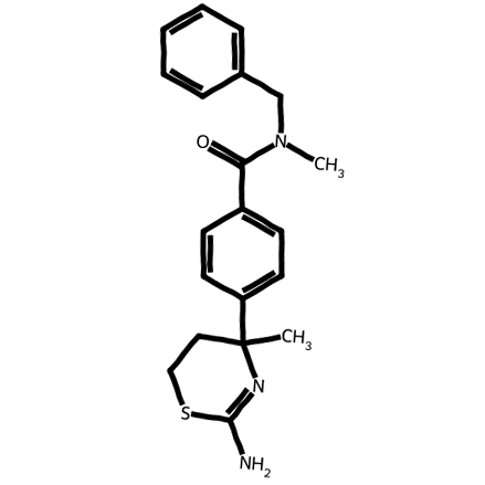 CN(Cc1ccccc1)C(=O)c1ccc(C2(C)CCSC(N)=N2)cc1